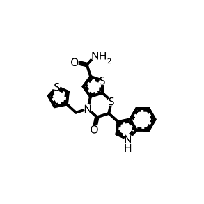 NC(=O)c1cc2c(s1)SC(c1c[nH]c3ccccc13)C(=O)N2Cc1ccsc1